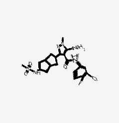 Cn1nc(C2CC3CC(NS(C)(=O)=O)CC3C2)c(C(=O)Nc2ccc(F)c(Cl)c2)c1N